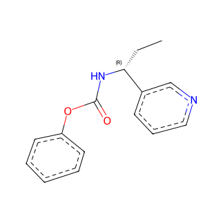 CC[C@@H](NC(=O)Oc1ccccc1)c1cccnc1